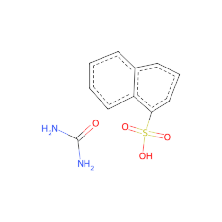 NC(N)=O.O=S(=O)(O)c1cccc2ccccc12